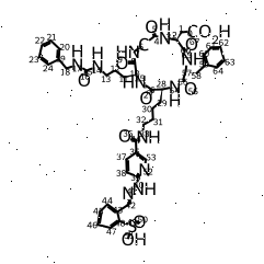 O=C(O)C[C@@H]1NC(=O)CNC(=O)[C@H](CCCNC(=O)NCc2ccccc2)NC(=O)[C@H](CCCCNC(=O)c2ccc(N/N=C/c3ccccc3S(=O)O)nc2)NC(=O)[C@@H](Cc2ccccc2)NC1=O